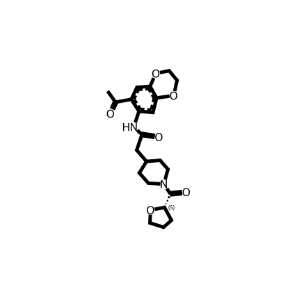 CC(=O)c1cc2c(cc1NC(=O)CC1CCN(C(=O)[C@@H]3CCCO3)CC1)OCCO2